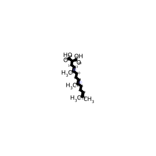 CC(C)=CCC/C(C)=C/CC/C(C)=C/CC(C(=O)O)C(=O)O